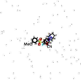 COc1cccc(S(=O)(=O)CCC(=O)N2CC3CCC(C2)N3c2ccc(F)c(C#N)c2)c1